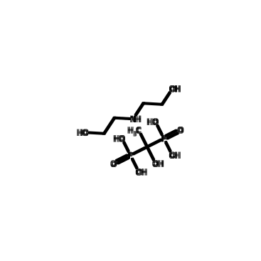 CC(O)(P(=O)(O)O)P(=O)(O)O.OCCNCCO